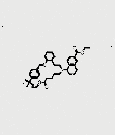 CCOC(=O)CCCCN(CCc1ccccc1OCc1ccc(C(C)(C)C)cc1)C1CCCc2cc(C(=O)OCC)ccc21